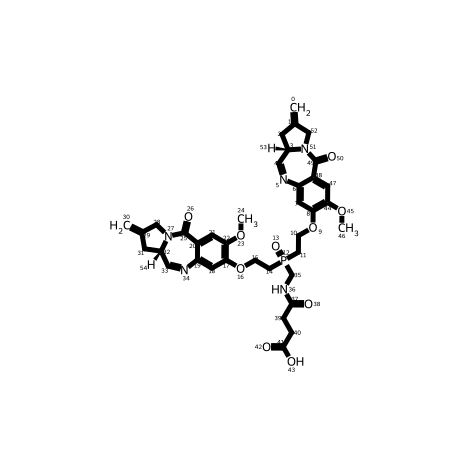 C=C1C[C@H]2C=Nc3cc(OCCP(=O)(CCOc4cc5c(cc4OC)C(=O)N4CC(=C)C[C@H]4C=N5)CNC(=O)CCC(=O)O)c(OC)cc3C(=O)N2C1